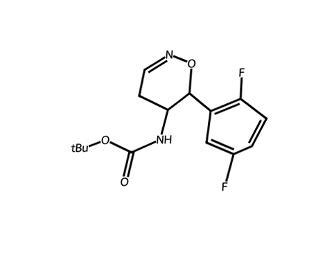 CC(C)(C)OC(=O)NC1CC=NOC1c1cc(F)ccc1F